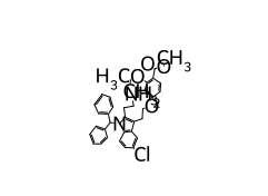 COC(=O)c1ccc(OCCc2c(CCN)n(C(c3ccccc3)c3ccccc3)c3ccc(Cl)cc23)cc1OC(C)C